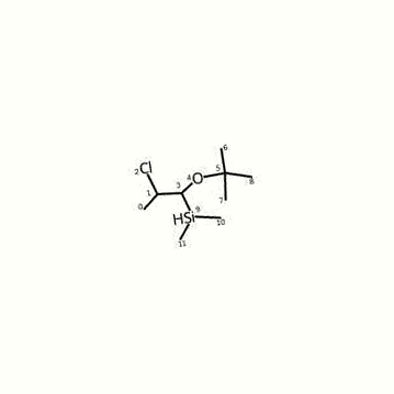 CC(Cl)C(OC(C)(C)C)[SiH](C)C